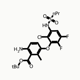 CCCS(=O)(=O)Nc1cc(F)c(F)c(Oc2ccc(N)c(C(=O)OC(C)(C)C)c2C)c1Cl